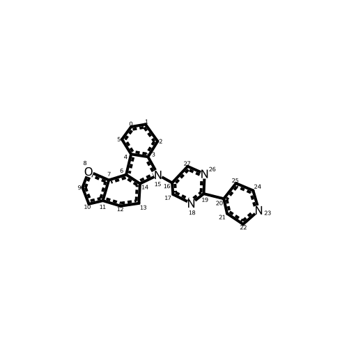 c1ccc2c(c1)c1c3occc3ccc1n2-c1cnc(-c2ccncc2)nc1